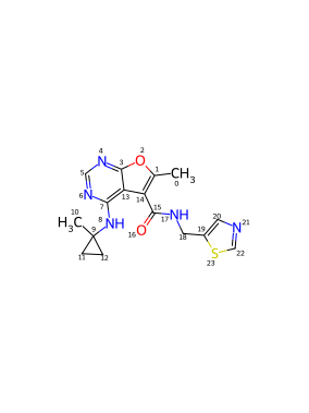 Cc1oc2ncnc(NC3(C)CC3)c2c1C(=O)NCc1cncs1